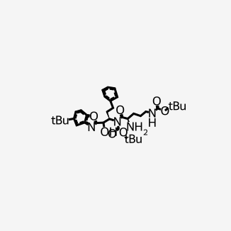 CC(C)(C)OC(=O)NCCC[C@@H](N)C(=O)N(C(=O)OC(C)(C)C)[C@H](CCc1ccccc1)C(O)c1nc2cc(C(C)(C)C)ccc2o1